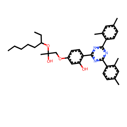 CCCCCC(CC)OC(C)(O)COc1ccc(-c2nc(-c3ccc(C)cc3C)nc(-c3ccc(C)cc3C)n2)c(O)c1